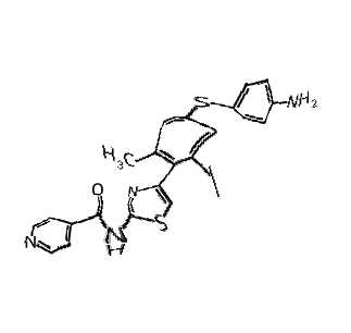 Cc1cc(Sc2ccc(N)cc2)cc(I)c1-c1csc(NC(=O)c2ccncc2)n1